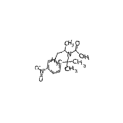 CC(Cc1cccc([N+](=O)[O-])c1)N(C(=O)O)C(C)(C)C